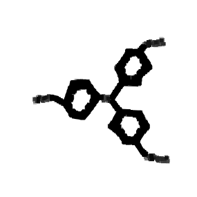 CCCCCc1ccc([SiH](c2ccc(CCCCC)cc2)c2ccc(CCCCC)cc2)cc1